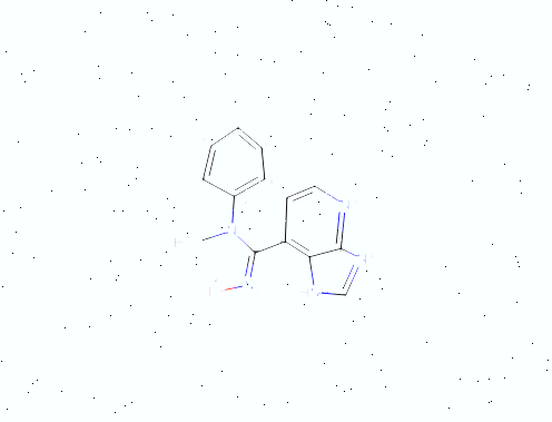 CN(C(=NO)c1ccnc2nc[nH]c12)c1ccccc1